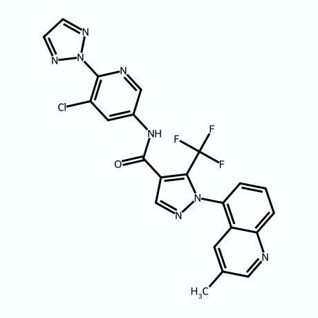 Cc1cnc2cccc(-n3ncc(C(=O)Nc4cnc(-n5nccn5)c(Cl)c4)c3C(F)(F)F)c2c1